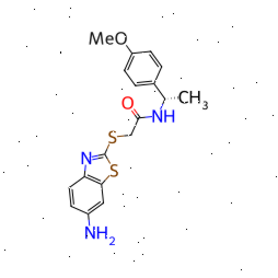 COc1ccc([C@H](C)NC(=O)CSc2nc3ccc(N)cc3s2)cc1